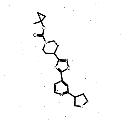 CC1(OC(=O)N2CCC(c3noc(-c4ccnc(C5CCOC5)c4)n3)CC2)CC1